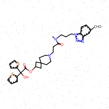 CN(CCCn1nnc2cc(C=O)ccc21)C(=O)CCN1CCC2(CC1)CC(OC(=O)C(O)(c1cccs1)c1cccs1)C2